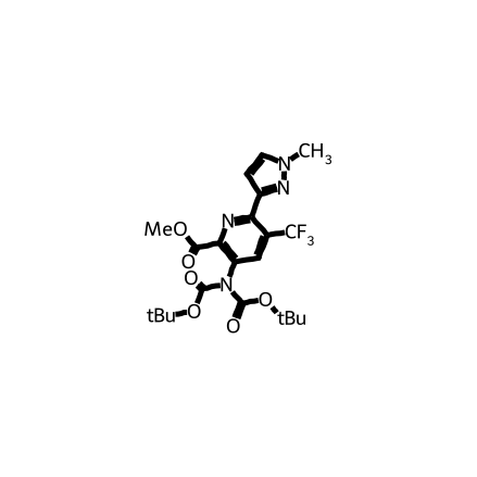 COC(=O)c1nc(-c2ccn(C)n2)c(C(F)(F)F)cc1N(C(=O)OC(C)(C)C)C(=O)OC(C)(C)C